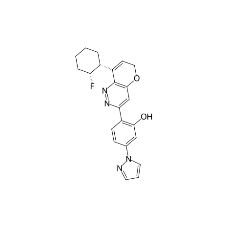 Oc1cc(-n2cccn2)ccc1-c1cc2c(nn1)C([C@H]1CCCC[C@H]1F)=CCO2